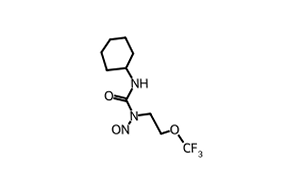 O=NN(CCOC(F)(F)F)C(=O)NC1CCCCC1